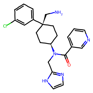 NC[C@]1(c2cccc(Cl)c2)CC[C@H](N(Cc2ncc[nH]2)C(=O)c2cccnc2)CC1